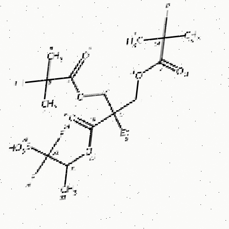 CCC(COC(=O)C(C)(C)I)(COC(=O)C(C)(C)I)C(=O)OC(C)C(F)(F)S(=O)(=O)O